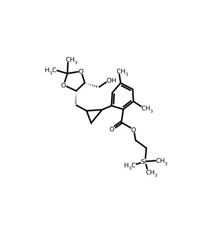 Cc1cc(C)c(C(=O)OCC[Si](C)(C)C)c(C2CC2C[C@@H]2OC(C)(C)O[C@@H]2CO)c1